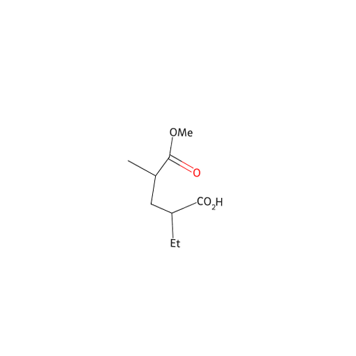 CCC(CC(C)C(=O)OC)C(=O)O